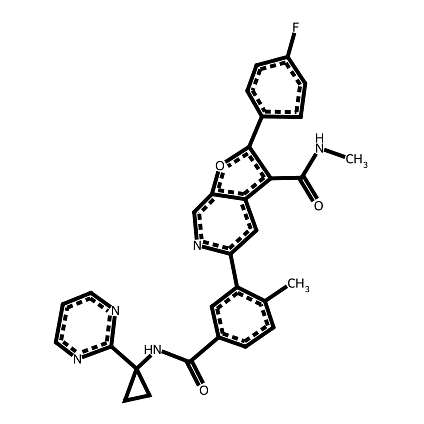 CNC(=O)c1c(-c2ccc(F)cc2)oc2cnc(-c3cc(C(=O)NC4(c5ncccn5)CC4)ccc3C)cc12